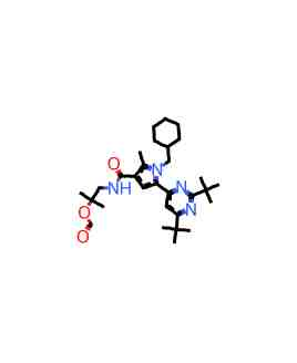 Cc1c(C(=O)NCC(C)(C)OC=O)cc(-c2cc(C(C)(C)C)nc(C(C)(C)C)n2)n1CC1CCCCC1